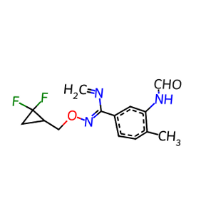 C=N/C(=N\OCC1CC1(F)F)c1ccc(C)c(NC=O)c1